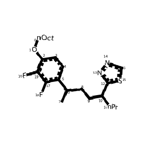 CCCCCCCCOc1ccc(C(C)CCC(CCC)c2nncs2)c(F)c1F